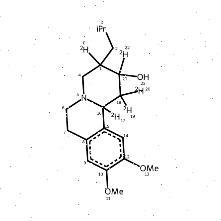 [2H]C1(CC(C)C)CN2CCc3cc(OC)c(OC)cc3C2([2H])C([2H])([2H])C1([2H])O